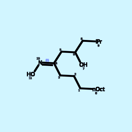 CCCCCCCCCCC/C(CC(O)CC(C)C)=N\O